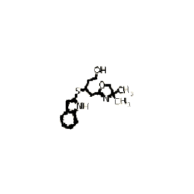 CC1(C)COC(CC(CCO)Sc2cc3ccccc3[nH]2)=N1